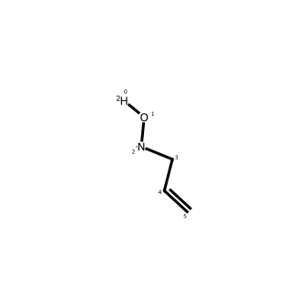 [2H]O[N]CC=C